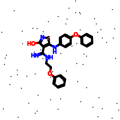 N=C(NCCOc1ccccc1)c1c(O)nsc1Nc1ccc(Oc2ccccc2)cc1